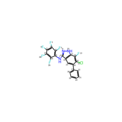 Fc1c(F)c(F)c(Nc2n[nH]c3c(F)c(Cl)c(-c4ccccc4)cc23)c(F)c1F